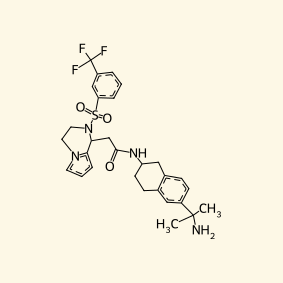 CC(C)(N)c1ccc2c(c1)CCC(NC(=O)CC1c3cccn3CCN1S(=O)(=O)c1cccc(C(F)(F)F)c1)C2